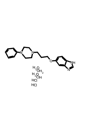 Cl.Cl.Cl.O.O.O.c1ccc(N2CCN(CCCOc3ccc4[nH]cnc4c3)CC2)cc1